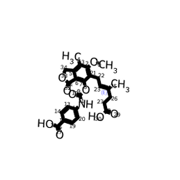 COc1c(C)c2c(c(OC(=O)Nc3ccc(C(=O)O)cc3)c1C/C=C(\C)CCC(=O)O)C(=O)OC2